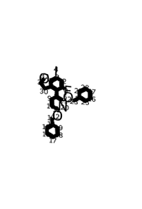 Fc1cc(I)c2c(c1-c1ccc(OCc3ccccc3)nc1OCc1ccccc1)CCO2